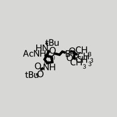 CC(=O)N[C@@]1(C(=O)NC(C)(C)C)C[C@@H](NC(=O)OC(C)(C)C)C[C@@H]1CCCB1OC(C)(C)C(C)(C)O1